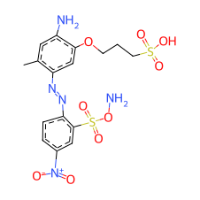 Cc1cc(N)c(OCCCS(=O)(=O)O)cc1N=Nc1ccc([N+](=O)[O-])cc1S(=O)(=O)ON